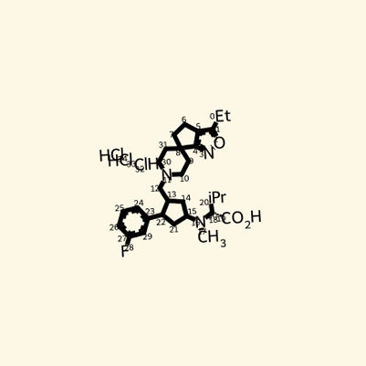 CCc1onc2c1CCC21CCN(CC2CC(N(C)[C@@H](C(=O)O)C(C)C)CC2c2cccc(F)c2)CC1.Cl.Cl.Cl